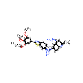 COc1cc(-c2nc3ccc(Nc4ccc5nc(C)cc(N)c5c4)cc3s2)cc(OC)c1OC